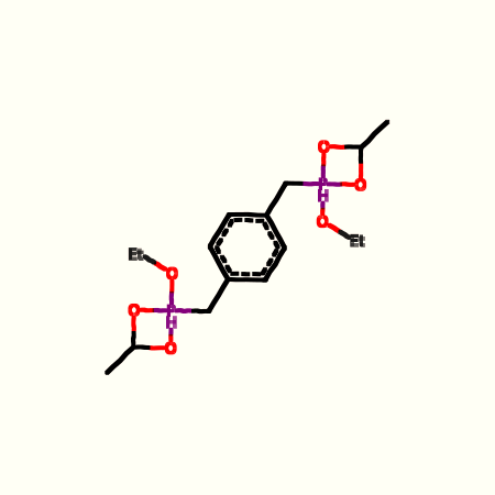 CCO[PH]1(Cc2ccc(C[PH]3(OCC)OC(C)O3)cc2)OC(C)O1